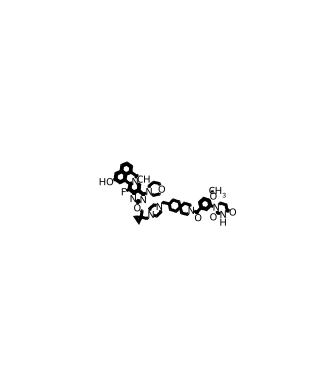 C#Cc1cccc2cc(O)cc(-c3ncc4c(N5CCCOCC5)nc(OCC5(CN6CCN(CC7CCC8(CC7)CCN(C(=O)c7ccc(OC)c(N9CCC(=O)NC9=O)c7)CC8)CC6)CC5)nc4c3F)c12